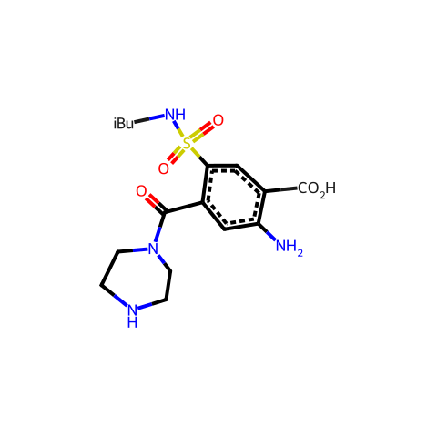 CCC(C)NS(=O)(=O)c1cc(C(=O)O)c(N)cc1C(=O)N1CCNCC1